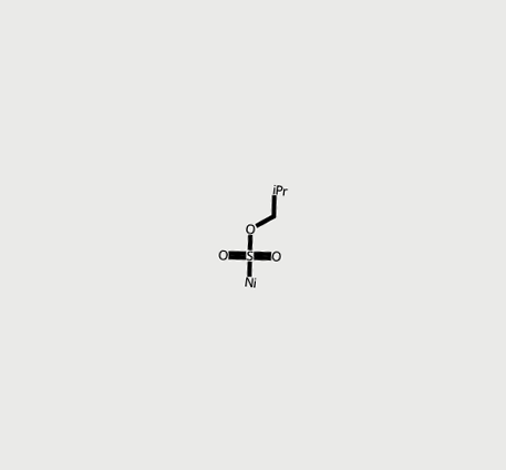 CC(C)CO[S](=O)(=O)[Ni]